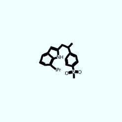 CC(C)c1cccc2cc(CC(C)c3ccc(S(C)(=O)=O)cc3)[nH]c12